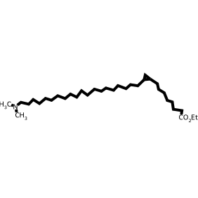 CCOC(=O)CCCCCCCC1CC1CCCCCCCCCCCCCCCCCCCCN(C)C